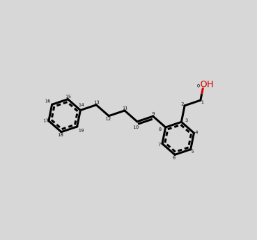 OCCc1ccccc1C=CCCCc1ccccc1